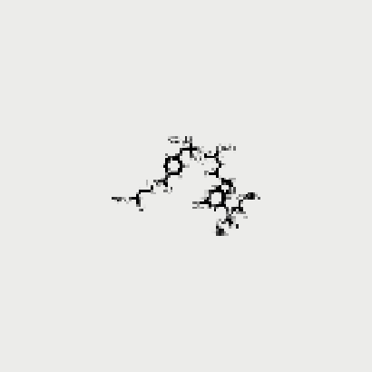 CCOC(=O)C(Cc1ccc(C(=O)NCCC(=O)OC)cc1)(OCC(CC(F)n1cnc2c(N(C(=O)OC(C)(C)C)C(=O)OC(C)(C)C)nc(Cl)nc21)OC)C(=O)OCC